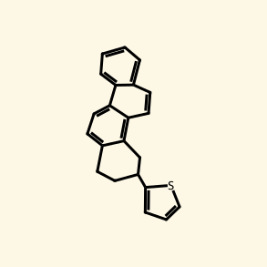 c1csc(C2CCc3ccc4c(ccc5ccccc54)c3C2)c1